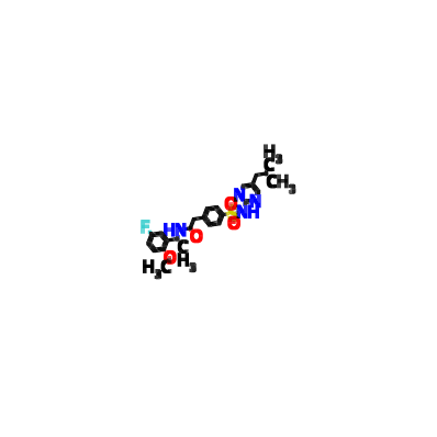 COc1ccc(F)cc1C(C)NC(=O)Cc1ccc(S(=O)(=O)Nc2ncc(CC(C)C)cn2)cc1